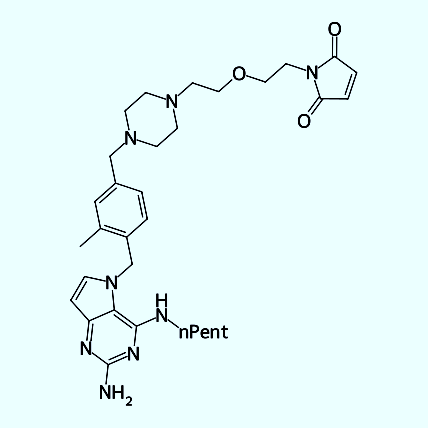 CCCCCNc1nc(N)nc2ccn(Cc3ccc(CN4CCN(CCOCCN5C(=O)C=CC5=O)CC4)cc3C)c12